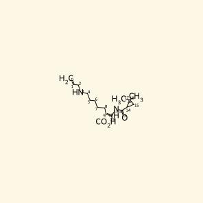 C=CCNCCCCC/C=C(\NC(=O)C1CC1(C)C)C(=O)O